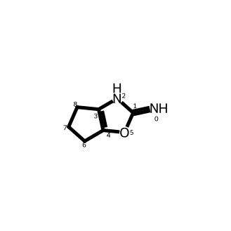 N=c1[nH]c2c(o1)CCC2